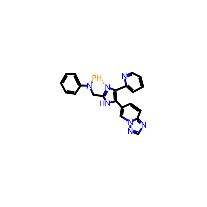 PN(Cc1nc(-c2ccccn2)c(-c2ccc3ncnn3c2)[nH]1)c1ccccc1